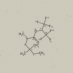 CCC(C)(C)CC(C)C(=O)OC(C(F)(F)F)C(F)(F)F